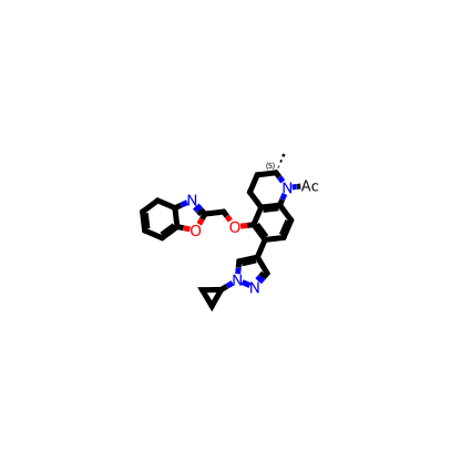 CC(=O)N1c2ccc(-c3cnn(C4CC4)c3)c(OCC3=NC4CC=CC=C4O3)c2CC[C@@H]1C